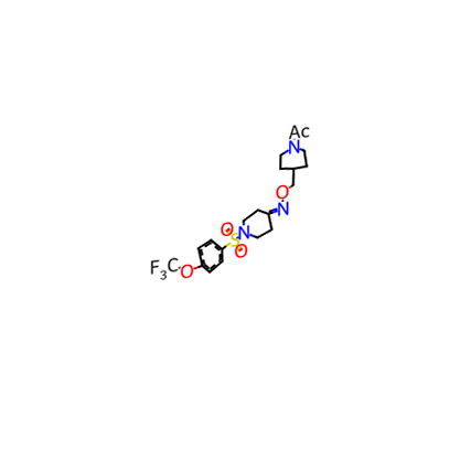 CC(=O)N1CCC(CON=C2CCN(S(=O)(=O)c3ccc(OC(F)(F)F)cc3)CC2)CC1